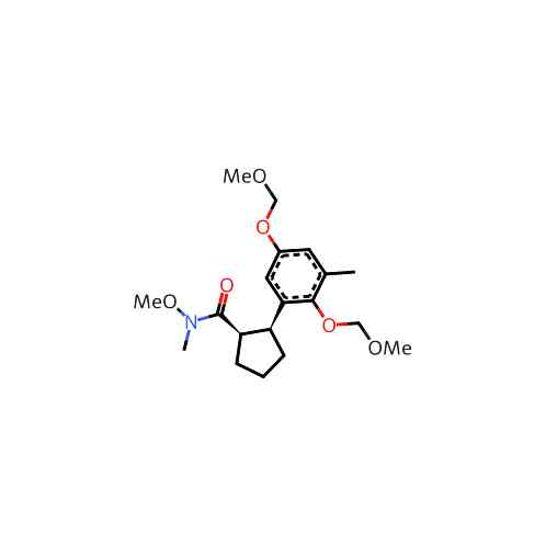 COCOc1cc(C)c(OCOC)c([C@H]2CCC[C@H]2C(=O)N(C)OC)c1